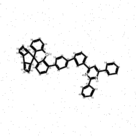 c1ccc(-c2cc(-c3cccc(-c4ccc(-c5cccc6c5Oc5ccccc5C65c6ccccc6-c6ccccc65)cc4)c3)nc(-c3ccccc3)n2)cc1